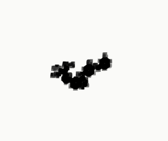 CCCN(CCC)C(CSC)c1ccc(-c2ccc3ncnc(Nc4ccc(OCc5cccc(F)c5)c(Cl)c4)c3c2)o1